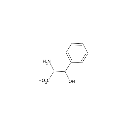 NC(C(=O)O)C(O)c1ccccc1